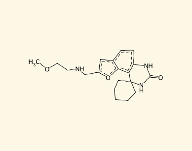 COCCNCc1cc2ccc3c(c2o1)C1(CCCCC1)NC(=O)N3